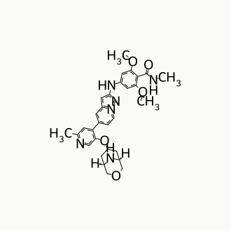 CNC(=O)c1c(OC)cc(Nc2cc3cc(-c4cc(C)ncc4OC4C[C@H]5COC[C@@H](C4)N5)ccn3n2)cc1OC